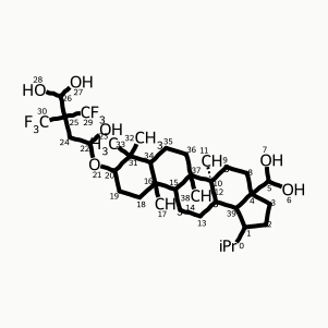 CC(C)C1CCC2(C(O)O)CC[C@@]3(C)C(CCC4C5(C)CCC(OC(O)CC(C(O)O)(C(F)(F)F)C(F)(F)F)C(C)(C)C5CCC43C)C12